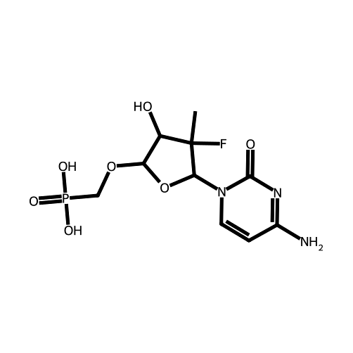 CC1(F)C(O)C(OCP(=O)(O)O)OC1n1ccc(N)nc1=O